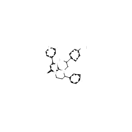 Cc1ccc(C(O)CN2c3nc(-c4ccncc4)cc(=O)n3CCC2c2ccccc2)cc1